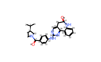 CC(C)[C@@H]1CCN(C(=O)c2ccc(Nc3ncc4c(n3)-c3ccccc3NC(=O)C4)cc2)C1